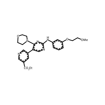 CCOC(=O)c1cncc(-c2cnc(Nc3cccc(OCCOC)c3)nc2N2CCOCC2)c1